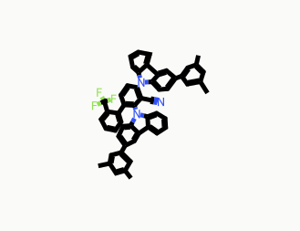 Cc1cc(C)cc(-c2ccc3c(c2)c2ccccc2n3-c2ccc(-c3ccccc3C(F)(F)F)c(-n3c4ccccc4c4cc(-c5cc(C)cc(C)c5)ccc43)c2C#N)c1